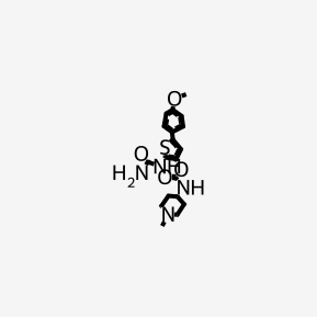 COc1ccc(-c2cc(OC(=O)NC3CCN(C)CC3)c(NC(N)=O)s2)cc1